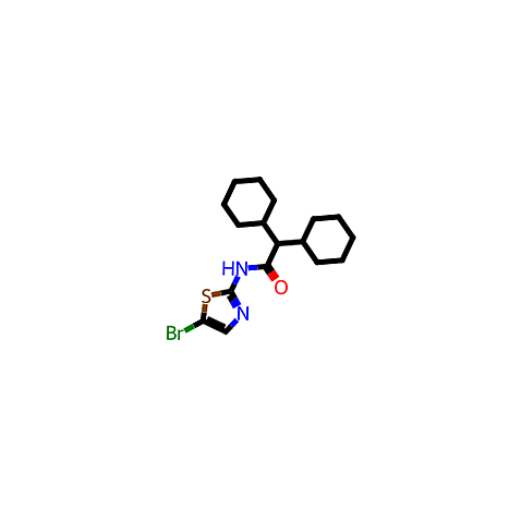 O=C(Nc1ncc(Br)s1)C(C1CCCCC1)C1CCCCC1